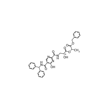 CC(OC(=O)[C@H](O)CNC(=O)c1ncc(C(=O)NC(c2ccccc2)c2ccccc2)c(O)n1)C(=O)OCc1ccccc1